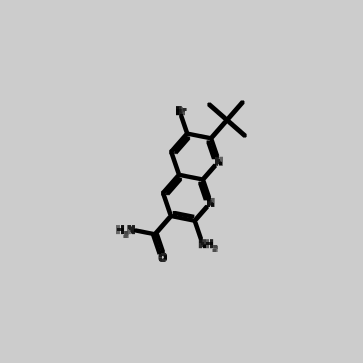 CC(C)(C)c1nc2nc(N)c(C(N)=O)cc2cc1Br